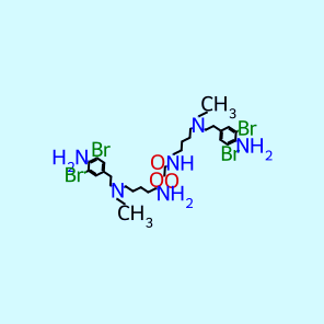 CCCN(CCCCCNC(=O)C(=O)OC(N)CCCCN(CCC)CCc1cc(Br)c(N)c(Br)c1)CCc1cc(Br)c(N)c(Br)c1